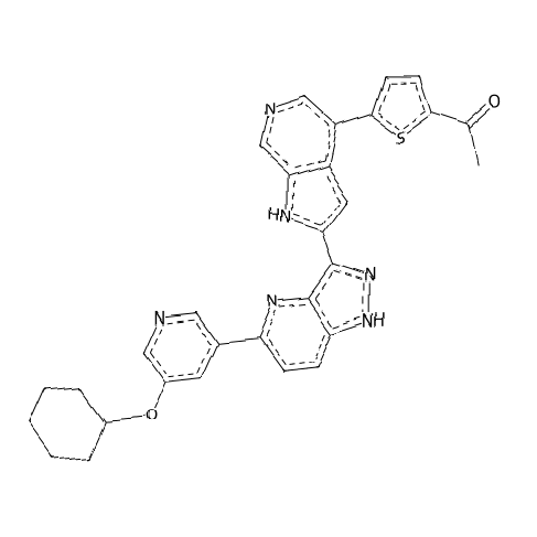 CC(=O)c1ccc(-c2cncc3[nH]c(-c4n[nH]c5ccc(-c6cncc(OC7CCCCC7)c6)nc45)cc23)s1